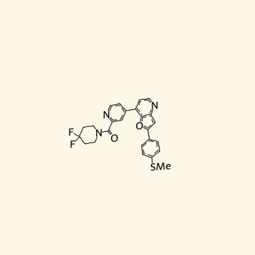 CSc1ccc(-c2cc3nccc(-c4ccnc(C(=O)N5CCC(F)(F)CC5)c4)c3o2)cc1